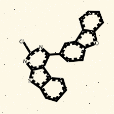 Clc1nc(-c2ccc3oc4ccccc4c3c2)c2c(n1)sc1ccccc12